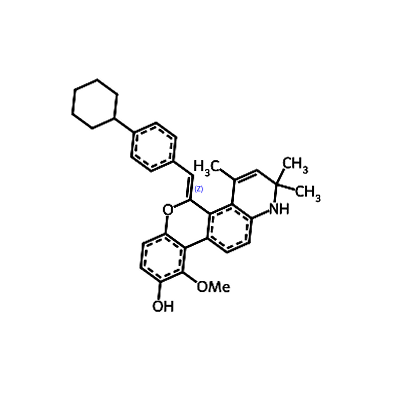 COc1c(O)ccc2c1-c1ccc3c(c1/C(=C/c1ccc(C4CCCCC4)cc1)O2)C(C)=CC(C)(C)N3